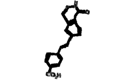 O=C(O)c1ccc(C=Cc2ccc3c(=O)[nH]ncc3c2)cc1